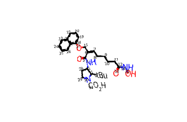 CC(C)(C)C1C(NC(=O)C(=CCCCCC(=O)NO)COc2cccc3ccccc23)CCN1C(=O)O